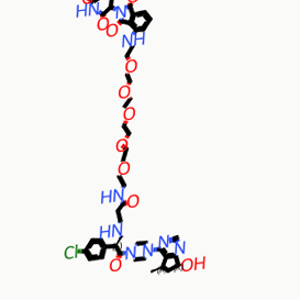 C[C@@H]1C[C@@H](O)c2ncnc(N3CCN(C(=O)[C@H](CNCCC(=O)NCCOCCOCCOCCOCCOCCNc4cccc5c4C(=O)N(C4CCC(=O)NC4=O)C5=O)c4ccc(Cl)cc4)CC3)c21